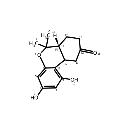 CC1(C)Oc2cc(O)cc(O)c2C2CC(=O)CC[C@H]21